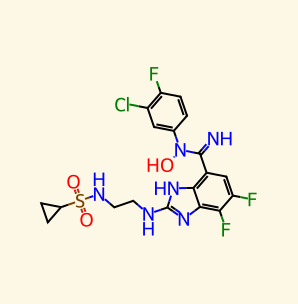 N=C(c1cc(F)c(F)c2nc(NCCNS(=O)(=O)C3CC3)[nH]c12)N(O)c1ccc(F)c(Cl)c1